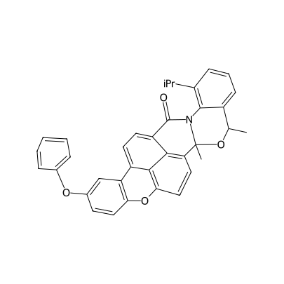 CC(C)c1cccc2c1N1C(=O)c3ccc4c5c(ccc(c35)C1(C)OC2C)Oc1ccc(Oc2ccccc2)cc1-4